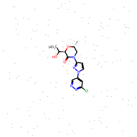 C[C@@H]1CN(c2ccn(-c3cnnc(Cl)c3)n2)C(=O)[C@@H](C(O)C(=O)O)O1